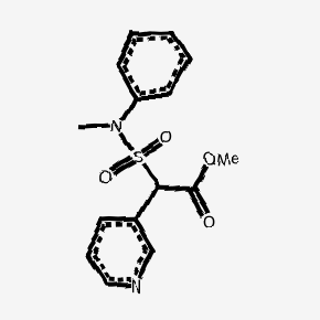 COC(=O)C(c1cccnc1)S(=O)(=O)N(C)c1ccccc1